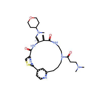 C=C1C(=O)NCCN(C(=O)CCN(C)C)CCCc2cc(ccn2)-c2nc(cs2)C(=O)N/C1=C/N(C)C1CCOCC1